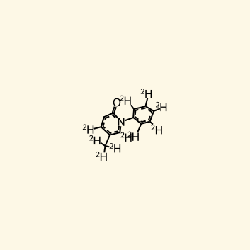 [2H]c1cc(=O)n(-c2c([2H])c([2H])c([2H])c([2H])c2[2H])c([2H])c1C([2H])([2H])[2H]